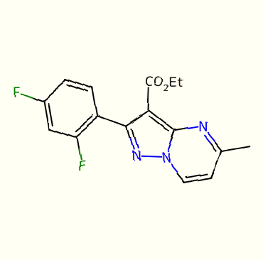 CCOC(=O)c1c(-c2ccc(F)cc2F)nn2ccc(C)nc12